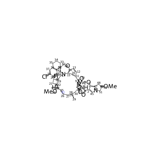 COc1c(C(=O)N[S@@]2(=O)=NC(=O)c3ccc4c(c3)N(C[C@@H]3CC[C@H]3[C@@H](OC)/C=C/C[C@H](C)C2)C[C@@]2(CCCc3cc(Cl)ccc32)CO4)cn2c1C[C@@H](OC)C2